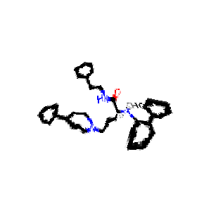 O=CN(c1ccccc1-c1ccccc1)[C@@H](CCCN1CCC(c2ccccc2)CC1)C(=O)NCCc1ccccc1